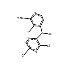 CNc1nccc(C(O)c2ncc(Cl)nc2Cl)c1Cl